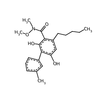 CCCCCc1cc(O)c(-c2cccc(C)c2)c(O)c1C(=O)N(C)OC